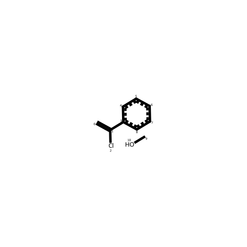 C=C(Cl)c1ccccc1.CO